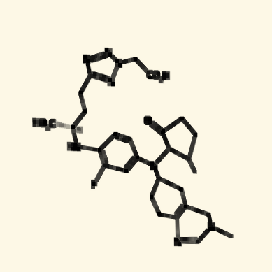 CC1CCC(=O)C1N(c1ccc(N[C@@H](CCc2nnn(CC(=O)O)n2)C(=O)O)c(F)c1)C1CCC2=C(C1)CN(C)C=N2